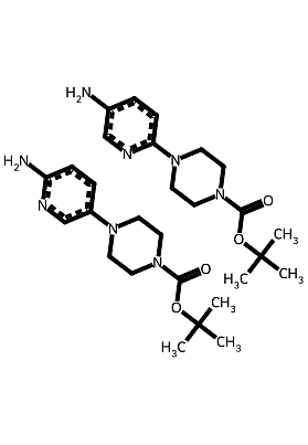 CC(C)(C)OC(=O)N1CCN(c2ccc(N)cn2)CC1.CC(C)(C)OC(=O)N1CCN(c2ccc(N)nc2)CC1